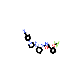 N#Cc1ccc(N2CCC[C@H](N[C@@H]3CCCC[C@H]3Nc3ncc(-c4ccccc4OC(F)(F)F)o3)C2)cc1